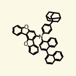 c1ccc2c(-c3ccc(N(c4ccc(C56CC7CC(CC(C7)C5)C6)cc4)c4cc5oc6ccccc6c5c5oc6ccccc6c45)c4ccccc34)cccc2c1